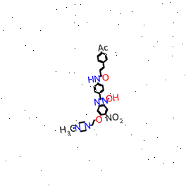 CC(=O)c1ccc(/C=C/C(=O)Nc2ccc(-c3nc4cc(OCCN5CCN(C)CC5)c([N+](=O)[O-])cc4n3O)cc2)cc1